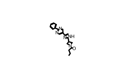 CCCC(=O)N1CC(c2nc(-c3cnc(-c4ccccc4)nc3)c[nH]2)C1